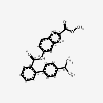 COC(=O)c1nc2ccc(NC(=O)c3ccccc3-c3ccc(C(C)C)cc3)cc2s1